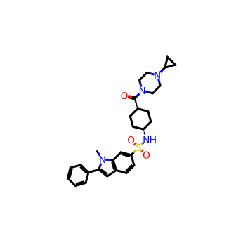 Cn1c(-c2ccccc2)cc2ccc(S(=O)(=O)N[C@H]3CC[C@H](C(=O)N4CCN(C5CC5)CC4)CC3)cc21